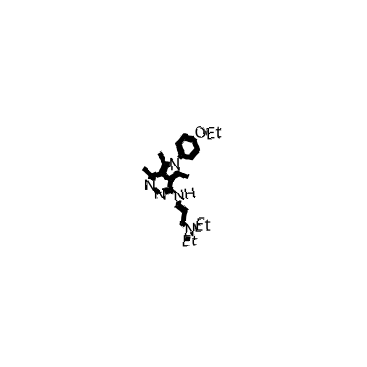 CCOc1ccc(-n2c(C)c3c(C)nnc(NCCCN(CC)CC)c3c2C)cc1